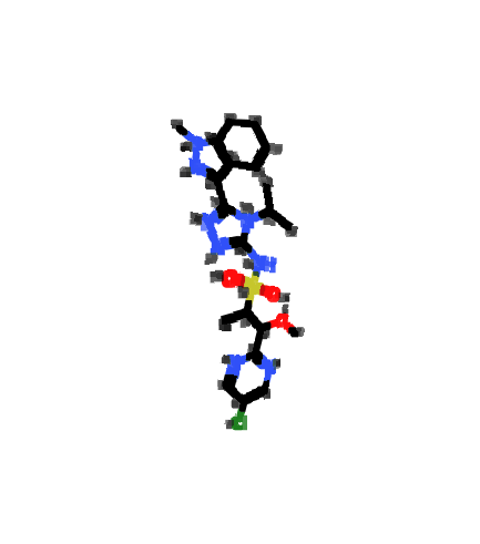 COC(c1ncc(Cl)cn1)C(C)S(=O)(=O)Nc1nnc(-c2nn(C)c3c2CCCC3)n1C(C)C